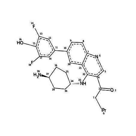 CC(C)CC(=O)c1cnc2ccc(-c3cc(F)c(O)c(F)c3)cc2c1N[C@H]1CC[C@H](N)CC1